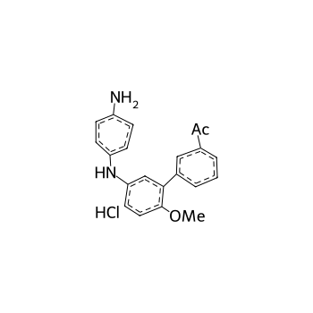 COc1ccc(Nc2ccc(N)cc2)cc1-c1cccc(C(C)=O)c1.Cl